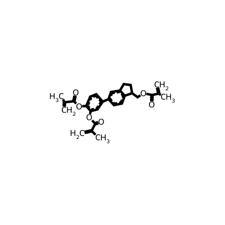 C=C(C)C(=O)OCC1CCc2cc(-c3ccc(OC(=O)C(=C)C)c(OC(=O)C(=C)C)c3)ccc21